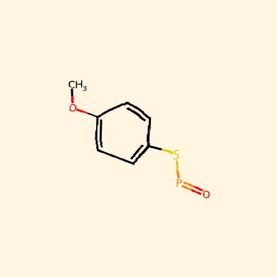 COc1ccc(SP=O)cc1